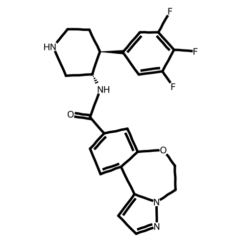 O=C(N[C@@H]1CNCC[C@H]1c1cc(F)c(F)c(F)c1)c1ccc2c(c1)OCCn1nccc1-2